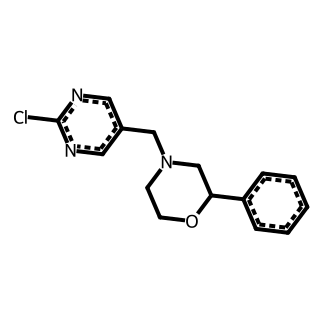 Clc1ncc(CN2CCOC(c3ccccc3)C2)cn1